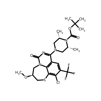 CO[C@@H]1CSc2c(Cl)c(C(F)(F)F)cc3c(N4C[C@@H](C)N(C(=O)OC(C)(C)C)[C@@H](C)C4)nc(=O)n(c23)C1